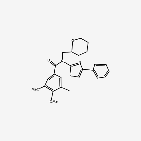 COc1cc(C(=O)N(CC2CCCCO2)c2nc(-c3ccccc3)cs2)cc(C)c1OC